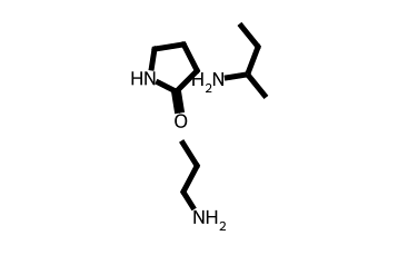 CCC(C)N.CCCN.O=C1CCCN1